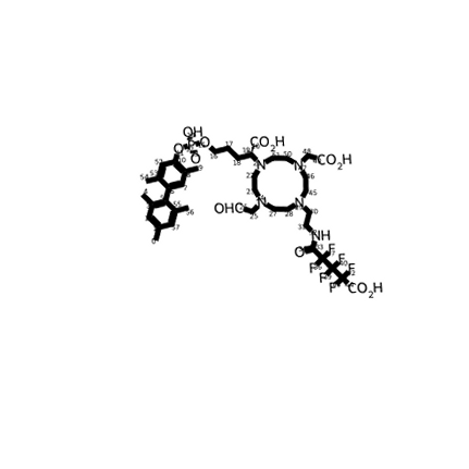 Cc1cc(C)c(-c2cc(C)c(OP(=O)(O)OCCC[C@H](C(=O)O)N3CCN(CC=O)CCN(CCNC(=O)C(F)(F)C(F)(F)C(F)(F)C(=O)O)CCN(CC(=O)O)CC3)cc2C)c(C)c1